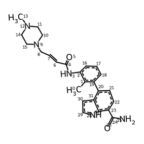 Cc1c(NC(=O)C=CCN2CCN(C)CC2)cccc1-c1ccc(C(N)=O)c2[nH]ccc12